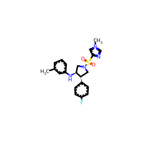 Cc1cccc(N[C@H]2CN(S(=O)(=O)c3cn(C)cn3)C[C@@H]2c2ccc(F)cc2)c1